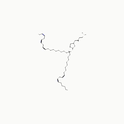 CC/C=C\C/C=C\C/C=C\CCCCCCCCC1(CCCCCCCC/C=C\C/C=C\CCCCC)OC2CC(CC(=O)CCN(C)C)CC2O1